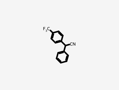 N#CC(c1ccccc1)c1ccc(C(F)(F)F)cc1